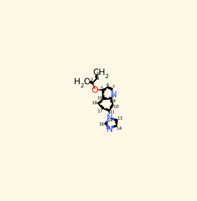 C=CC(=C)Oc1ccnc2cc(-n3ccnc3)ccc12